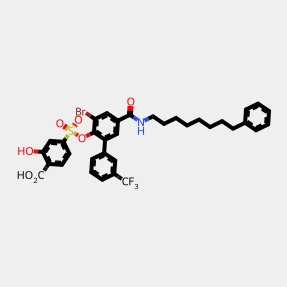 O=C(NCCCCCCCCc1ccccc1)c1cc(Br)c(OS(=O)(=O)c2ccc(C(=O)O)c(O)c2)c(-c2cccc(C(F)(F)F)c2)c1